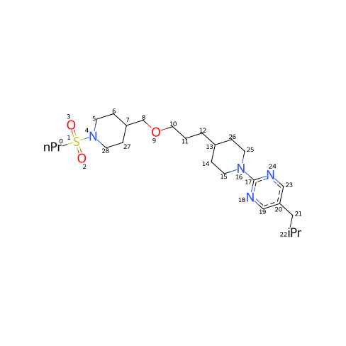 CCCS(=O)(=O)N1CCC(COCCCC2CCN(c3ncc(CC(C)C)cn3)CC2)CC1